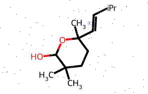 CC(C)/C=C/C1(C)CCC(C)(C)C(O)O1